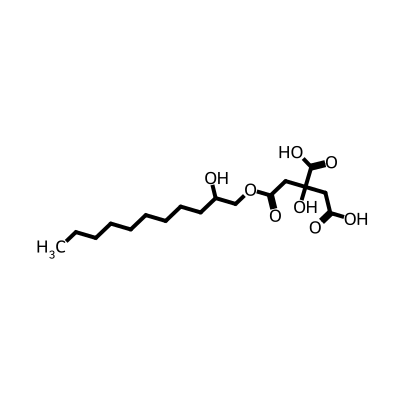 CCCCCCCCCC(O)COC(=O)CC(O)(CC(=O)O)C(=O)O